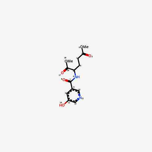 COC(=O)CCC(NC(=O)c1cncc(O)c1)C(=O)OC